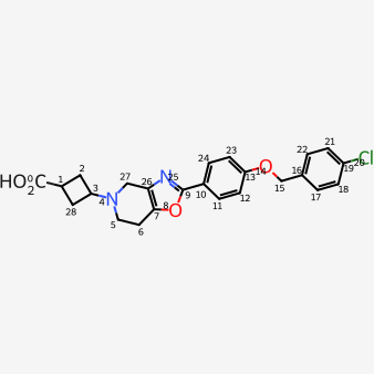 O=C(O)C1CC(N2CCc3oc(-c4ccc(OCc5ccc(Cl)cc5)cc4)nc3C2)C1